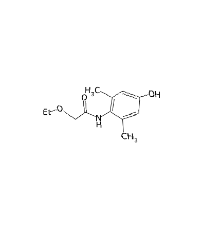 CCOCC(=O)Nc1c(C)cc(O)cc1C